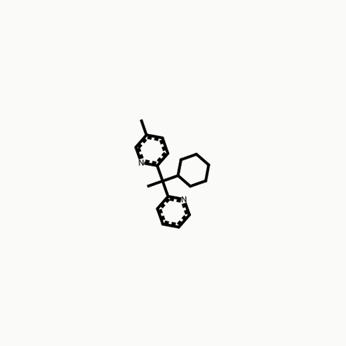 Cc1ccc(C(C)(c2ccccn2)C2CCCCC2)nc1